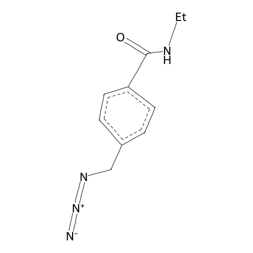 CCNC(=O)c1ccc(CN=[N+]=[N-])cc1